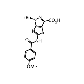 COc1ccc(C(=O)Nc2nc3c(s2)c(C(=O)O)nn3C(C)(C)C)cc1